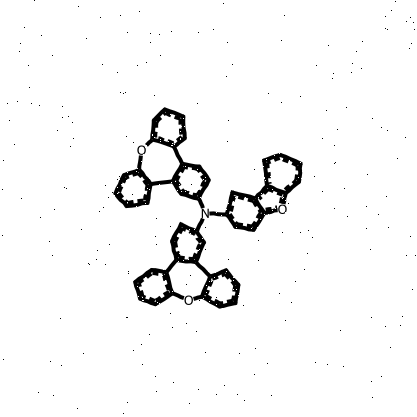 c1ccc2c(c1)Oc1ccccc1-c1cc(N(c3ccc4c(c3)-c3ccccc3Oc3ccccc3-4)c3ccc4oc5ccccc5c4c3)ccc1-2